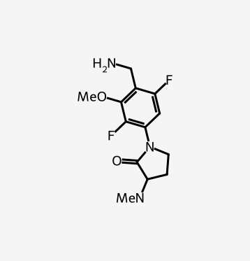 CNC1CCN(c2cc(F)c(CN)c(OC)c2F)C1=O